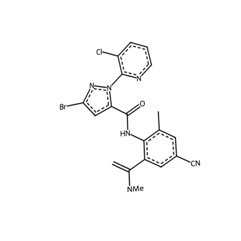 C=C(NC)c1cc(C#N)cc(C)c1NC(=O)c1cc(Br)nn1-c1ncccc1Cl